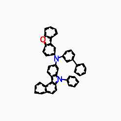 c1ccc(-c2cccc(N(c3ccc4oc5ccccc5c4c3)c3ccc4c5c6ccccc6ccc5n(-c5ccccc5)c4c3)c2)cc1